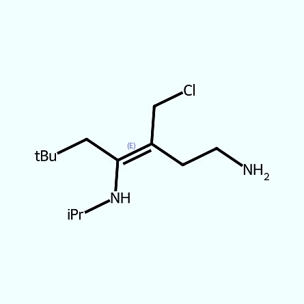 CC(C)N/C(CC(C)(C)C)=C(/CCl)CCN